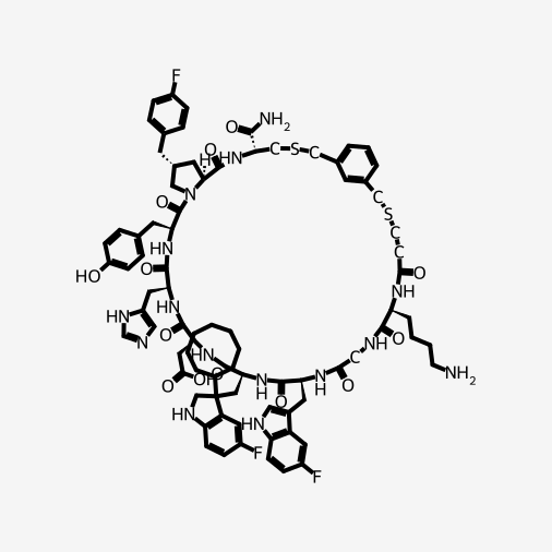 NCCCC[C@@H]1NC(=O)CCSCc2cccc(c2)CSC[C@@H](C(N)=O)NC(=O)[C@@H]2C[C@@H](Cc3ccc(F)cc3)CN2C(=O)[C@H](Cc2ccc(O)cc2)NC(=O)[C@H](Cc2cnc[nH]2)NC(=O)[C@H](CC(=O)O)NC(=O)[C@H](CC2(C3CCCCCCC3)CNc3ccc(F)cc32)NC(=O)[C@H](Cc2c[nH]c3ccc(F)cc23)NC(=O)CNC1=O